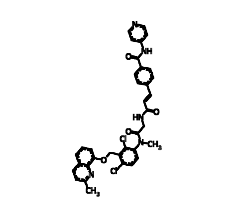 Cc1ccc2cccc(OCc3c(Cl)ccc(N(C)C(=O)CNC(=O)C=Cc4ccc(C(=O)Nc5ccncc5)cc4)c3Cl)c2n1